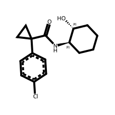 O=C(N[C@@H]1CCCC[C@H]1O)C1(c2ccc(Cl)cc2)CC1